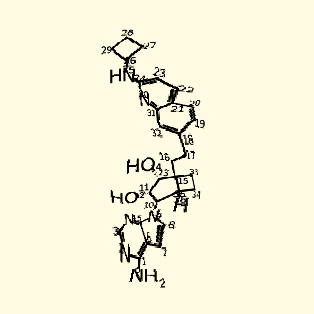 Nc1ncnc2c1ccn2[C@H]1[C@H](O)[C@H](O)[C@]2(CCc3ccc4ccc(NC5CCC5)nc4c3)CC[C@H]12